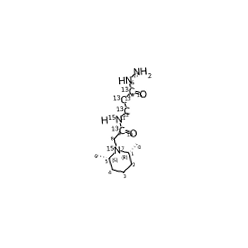 C[C@@H]1CCC[C@H](C)[15N]1C[13C](=O)[15NH][13CH2][13CH2][13C](=O)NN